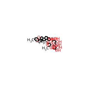 CC1CCC2(OC1)OC1CC3C4CC=C5CC(O)CC(OC6OC(C)C(O)C(OC7OCC(O)C(O)C7O)C6OC6OC(CO)C(O)C(O)C6O)C5(C)C4CCC3(C)C1C2C